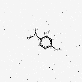 Cl.Nc1ccc([As](Cl)Cl)cc1